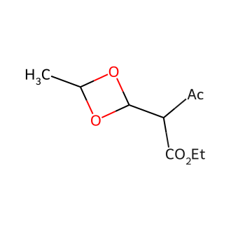 CCOC(=O)C(C(C)=O)C1OC(C)O1